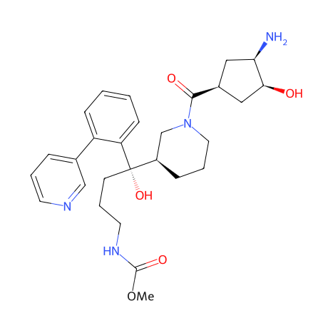 COC(=O)NCCC[C@@](O)(c1ccccc1-c1cccnc1)[C@@H]1CCCN(C(=O)[C@H]2C[C@@H](N)[C@@H](O)C2)C1